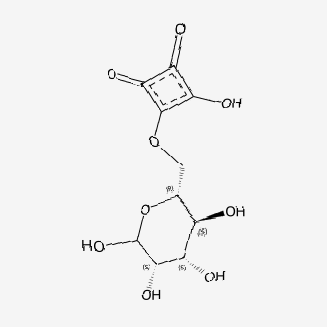 O=c1c(O)c(OC[C@H]2OC(O)[C@@H](O)[C@@H](O)[C@@H]2O)c1=O